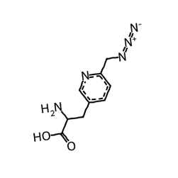 [N-]=[N+]=NCc1ccc(CC(N)C(=O)O)cn1